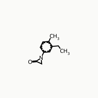 CCc1cc(N2CC2=O)ccc1C